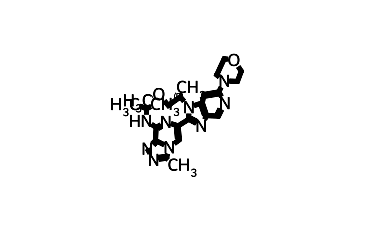 COC[C@@H](C)n1c(-c2cn3c(C)nnc3c(NC(C)C)n2)nc2cnc(N3CCOCC3)cc21